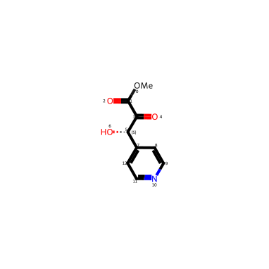 COC(=O)C(=O)[C@@H](O)c1ccncc1